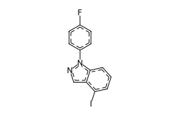 Fc1ccc(-n2ncc3c(I)cccc32)cc1